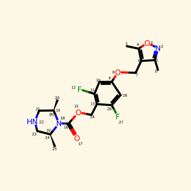 Cc1noc(C)c1COc1cc(F)c(COC(=O)N2[C@H](C)CNC[C@@H]2C)c(F)c1